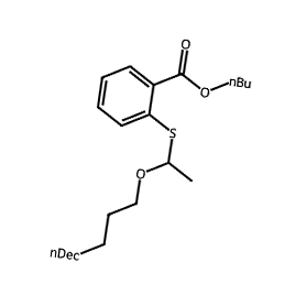 CCCCCCCCCCCCCOC(C)Sc1ccccc1C(=O)OCCCC